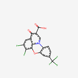 O=C(O)c1cn2c3c(c(F)c(F)cc3c1=O)Oc1cc(C(F)(F)F)ccc1-2